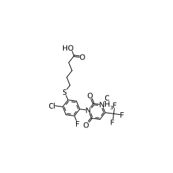 Cn1c(C(F)(F)F)cc(=O)n(-c2cc(SCCCCC(=O)O)c(Cl)cc2F)c1=O